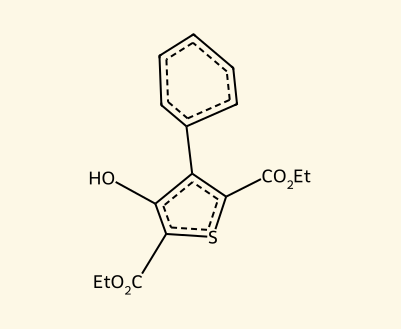 CCOC(=O)c1sc(C(=O)OCC)c(-c2ccccc2)c1O